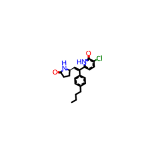 CCCCc1ccc(/C(=C\[C@H]2CCC(=O)N2)c2ccc(Cl)c(=O)[nH]2)cc1